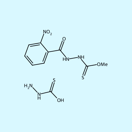 COC(=S)NNC(=O)c1ccccc1[N+](=O)[O-].NNC(O)=S